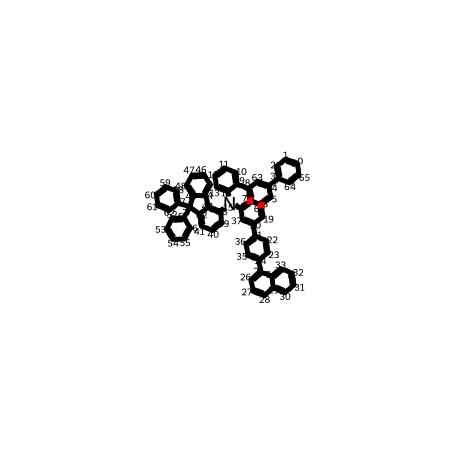 c1ccc(-c2cccc(-c3ccccc3N(c3cccc(-c4ccc(-c5cccc6ccccc56)cc4)c3)c3cccc4c3-c3ccccc3C4(c3ccccc3)c3ccccc3)c2)cc1